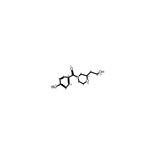 CC(C)(C)c1ccc(C(=O)N2CCOC(CCO)C2)cc1